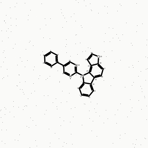 c1ccc(-c2cnc(-n3c4ccccc4c4ccc5occc5c43)nc2)cc1